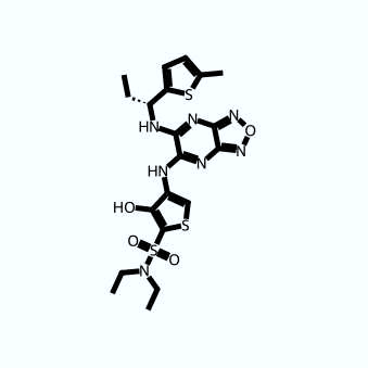 CC[C@@H](Nc1nc2nonc2nc1Nc1csc(S(=O)(=O)N(CC)CC)c1O)c1ccc(C)s1